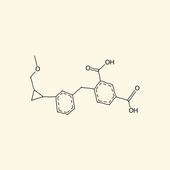 COCC1CC1c1cccc(Cc2ccc(C(=O)O)cc2C(=O)O)c1